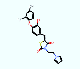 N#Cc1ccc(Oc2ccc(/C=C3\SC(=O)N(CCn4cccc4)C3=O)cc2O)c(C(F)(F)F)c1